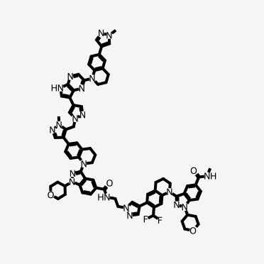 CNC(=O)c1ccc2c(c1)c(N1CCCc3cc(-c4cnn(CCNC(=O)c5ccc6c(c5)c(N5CCCc7cc(-c8cnn(C)c8Cn8cc(-c9c[nH]c%10ncc(N%11CCCc%12cc(-c%13cnn(C)c%13)ccc%12%11)nc9%10)cn8)ccc75)nn6C5CCOCC5)c4)c(C(F)F)cc31)nn2C1CCOCC1